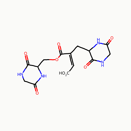 O=C(O)C=C(CC1NC(=O)CNC1=O)C(=O)OCC1NC(=O)CNC1=O